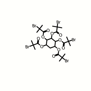 CC(C)(Br)C(=O)OC1CC(OC(=O)C(C)(C)Br)C(OC(=O)C(C)(C)Br)C(OC(=O)C(C)(C)Br)C1OC(=O)C(C)(C)Br